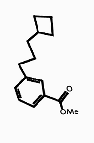 COC(=O)c1cccc(CCCC2CCC2)c1